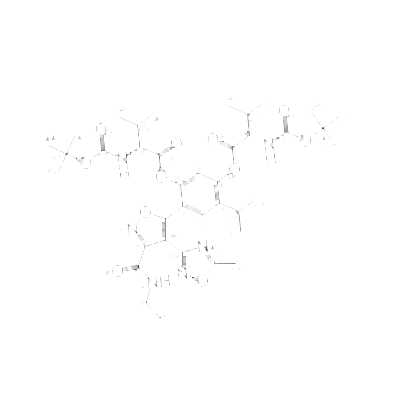 CCNC(=O)c1noc(-c2cc(C(C)C)c(OC(=O)[C@@H](NC(=O)OC(C)(C)C)C(C)C)cc2OC(=O)C(NC(=O)OC(C)(C)C)C(C)C)c1-c1noc(C)n1